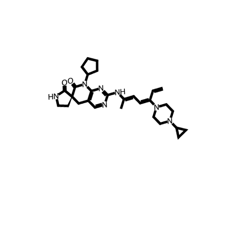 C=C/C(=C\C=C(/C)Nc1ncc2c(n1)N(C1CCCC1)C(=O)[C@]1(CCNC1=O)C2)N1CCN(C2CC2)CC1